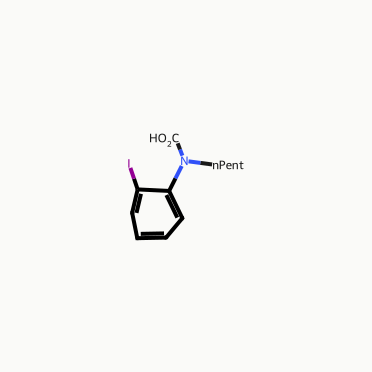 CCCCCN(C(=O)O)c1ccccc1I